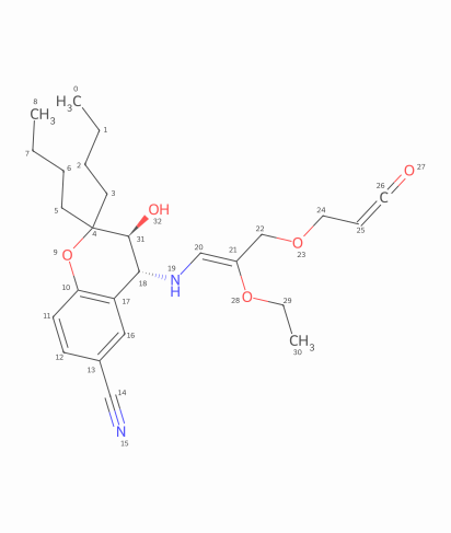 CCCCC1(CCCC)Oc2ccc(C#N)cc2[C@@H](NC=C(COCC=C=O)OCC)[C@@H]1O